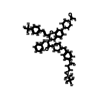 CC(=O)N1CCN(c2ccc(CN(C(=O)C=Cc3ccc(C(C)(C)C)cc3)[C@@H](Cc3ccccc3)C(=O)N3CCN(Cc4ccc(N(C)CCO[Si](C)(C)C(C)(C)C)cc4)CC3)cc2)CC1